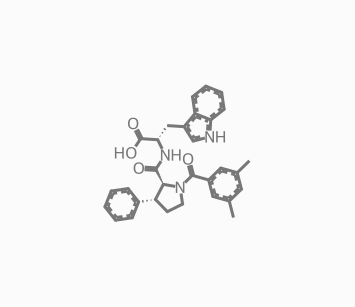 Cc1cc(C)cc(C(=O)N2CC[C@H](c3ccccc3)[C@H]2C(=O)N[C@@H](Cc2c[nH]c3ccccc23)C(=O)O)c1